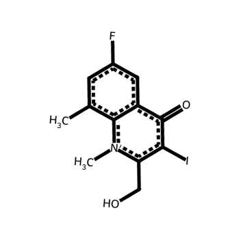 Cc1cc(F)cc2c(=O)c(I)c(CO)n(C)c12